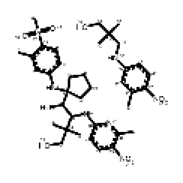 Cc1cc(NC2(C(O)C(Nc3ccc([N+](=O)[O-])c(C)n3)C(C)(C)CO)CCCC2)ccc1S(C)(=O)=O.Cc1cc(NCC(C)(C)CO)ccc1[N+](=O)[O-]